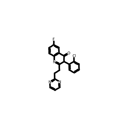 O=C1c2cc(F)ccc2N=C(CCc2ncccn2)C1c1ccccc1Cl